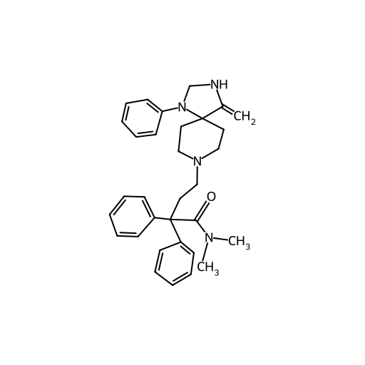 C=C1NCN(c2ccccc2)C12CCN(CCC(C(=O)N(C)C)(c1ccccc1)c1ccccc1)CC2